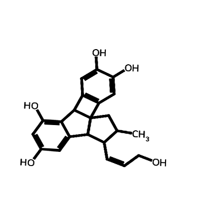 CC1CC23c4cc(O)c(O)cc4C2c2c(O)cc(O)cc2C3C1/C=C\CO